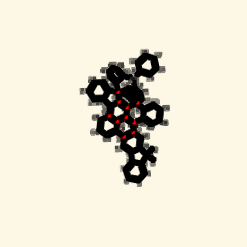 CC1(C)c2ccccc2-c2ccc(N(c3ccc4c(c3)C3(c5ccccc5-4)c4ccccc4N(c4ccccc4)c4ccccc43)c3ccccc3-c3ccccc3-c3cccc4ccccc34)cc21